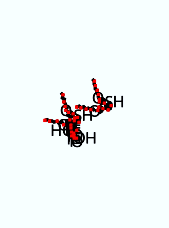 CCCCCCCCOc1ccc(-c2cccc(S)c2-c2ccc(OCCCCCCCC)cc2)cc1.CCCCCCCCOc1ccc(-c2cccc(S)c2-c2ccc(OCCCCCCCC)cc2)cc1.O=S(=O)(O)C(F)(F)C(F)(F)C(F)(F)C(F)(F)S(=O)(=O)O